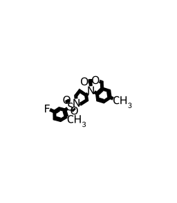 Cc1ccc2c(c1)COC(=O)N2C1CCN(S(=O)(=O)c2cc(F)ccc2C)CC1